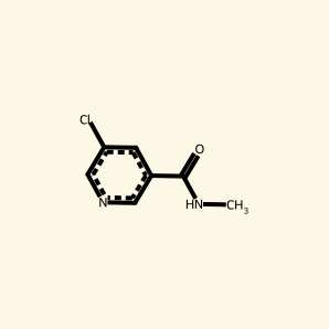 CNC(=O)c1cncc(Cl)c1